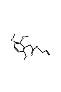 C=CCOC(=O)Cc1c(OC)ccc(OC)c1OC